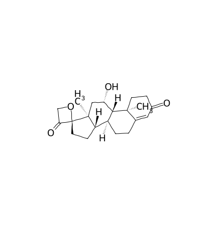 C[C@]12CCC(=O)C=C1CC[C@@H]1[C@@H]2[C@@H](O)C[C@@]2(C)[C@H]1CC[C@@]21OCC1=O